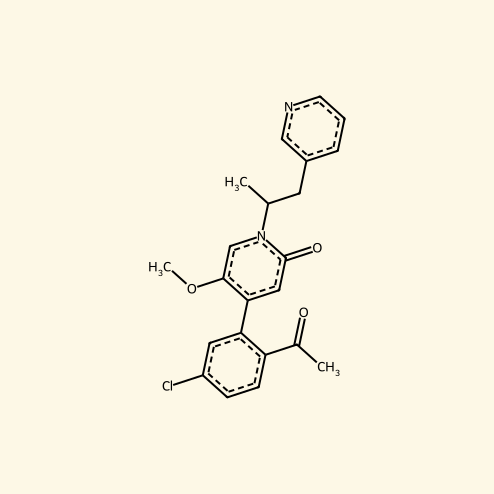 COc1cn(C(C)Cc2cccnc2)c(=O)cc1-c1cc(Cl)ccc1C(C)=O